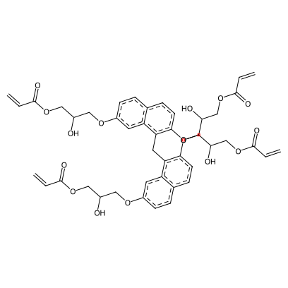 C=CC(=O)OCC(O)COc1ccc2ccc(OCC(O)COC(=O)C=C)c(Cc3c(OCC(O)COC(=O)C=C)ccc4ccc(OCC(O)COC(=O)C=C)cc34)c2c1